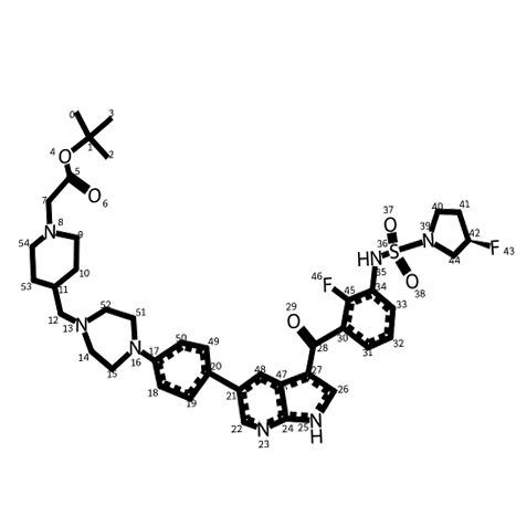 CC(C)(C)OC(=O)CN1CCC(CN2CCN(c3ccc(-c4cnc5[nH]cc(C(=O)c6cccc(NS(=O)(=O)N7CC[C@@H](F)C7)c6F)c5c4)cc3)CC2)CC1